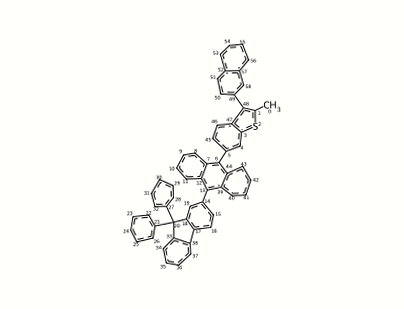 Cc1sc2cc(-c3c4ccccc4c(-c4ccc5c(c4)C(c4ccccc4)(c4ccccc4)c4ccccc4-5)c4ccccc34)ccc2c1-c1ccc2ccccc2c1